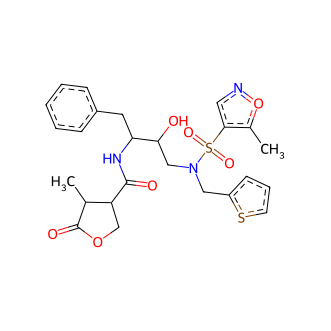 Cc1oncc1S(=O)(=O)N(Cc1cccs1)CC(O)C(Cc1ccccc1)NC(=O)C1COC(=O)C1C